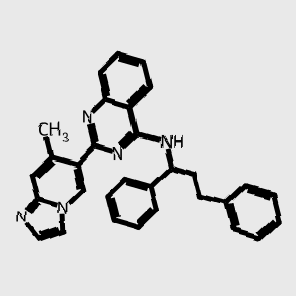 Cc1cc2nccn2cc1-c1nc(NC(CCc2ccccc2)c2ccccc2)c2ccccc2n1